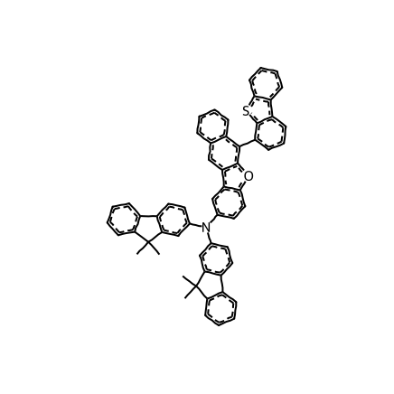 CC1(C)c2ccccc2-c2ccc(N(c3ccc4c(c3)C(C)(C)c3ccccc3-4)c3ccc4oc5c(-c6cccc7c6sc6ccccc67)c6ccccc6cc5c4c3)cc21